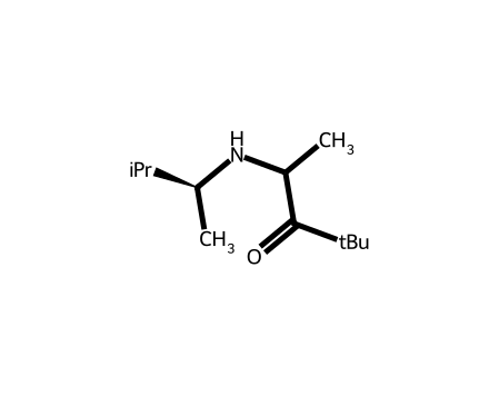 CC(N[C@@H](C)C(C)C)C(=O)C(C)(C)C